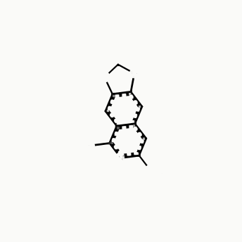 Cc1cc2cc3c(cc2c(C)n1)OCO3